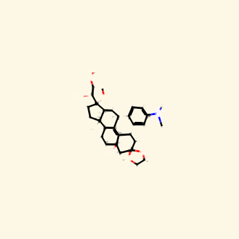 COC[C@H](O)[C@@]1(OC)CC[C@H]2[C@@H]3CC[C@@]4(O)CC5(CCC4=C3[C@@H](c3ccc(N(C)C)cc3)C[C@@]21C)OCCO5